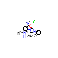 CCCNC1(C)C=CC=C(C(=O)N(C)C)C1N1CCN(c2ccccc2OC)CC1.Cl